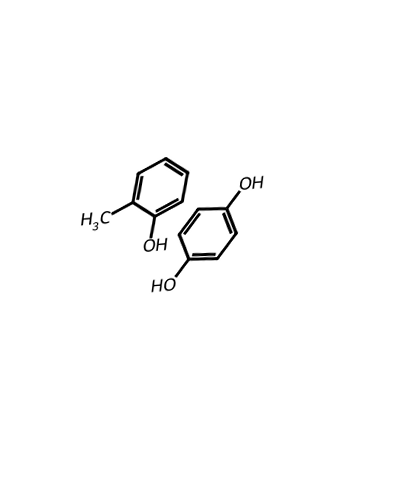 Cc1ccccc1O.Oc1ccc(O)cc1